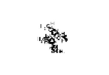 Cc1nc2c(Nc3ccc(-c4ccn(C)n4)cc3S(C)(=O)=O)cc(NC(=O)[C@@H]3CC3(F)F)nc2[nH]1